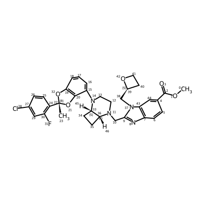 COC(=O)c1ccc2nc(CN3CCN(c4cccc5c4O[C@](C)(c4ccc(Cl)cc4F)O5)[C@H]4CC[C@H]43)n(C[C@@H]3CCO3)c2c1